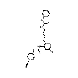 N#Cc1ccc(NC(=O)Nc2cc(Cl)ccc2OCCCNC(=O)Nc2ccccc2F)nc1